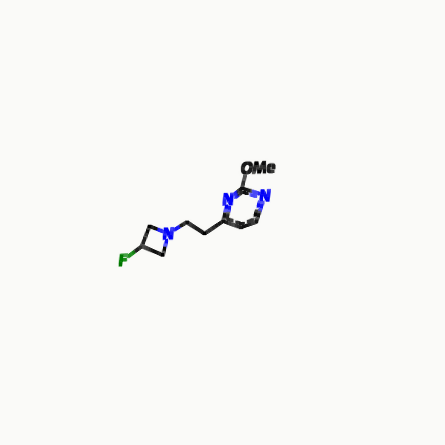 COc1nccc(CCN2CC(F)C2)n1